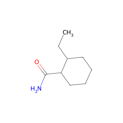 CCC1CCCCC1C(N)=O